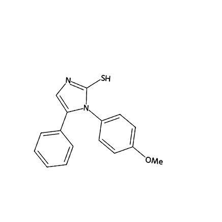 COc1ccc(-n2c(-c3ccccc3)cnc2S)cc1